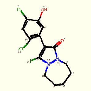 O=c1c(-c2cc(O)c(Cl)cc2Cl)c(F)n2n1CCCCC2